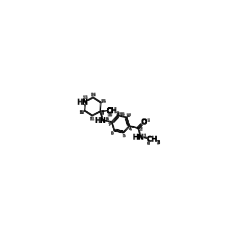 CNC(=O)c1ccc(NC2(C)CCNCC2)cc1